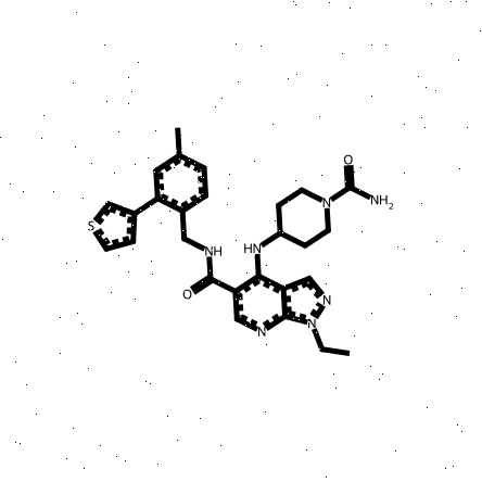 CCn1ncc2c(NC3CCN(C(N)=O)CC3)c(C(=O)NCc3ccc(C)cc3-c3ccsc3)cnc21